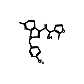 Cc1ccc2c(NC(O)c3ccoc3C)nn(Cc3ccc(C(F)(F)F)cc3)c2n1